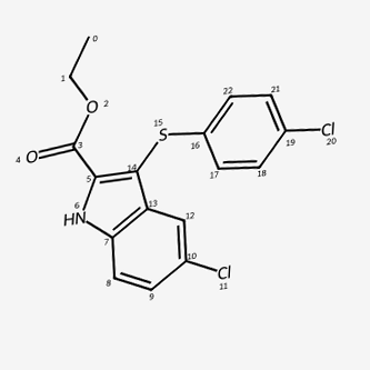 CCOC(=O)c1[nH]c2ccc(Cl)cc2c1Sc1ccc(Cl)cc1